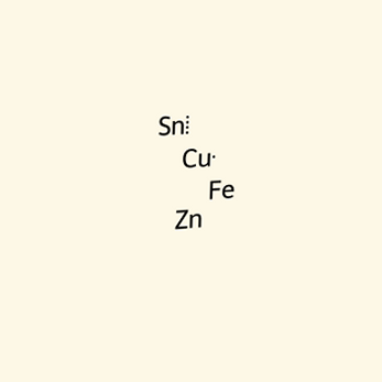 [Cu].[Fe].[Sn].[Zn]